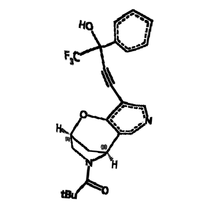 CC(C)(C)C(=O)N1C[C@@H]2C[C@H]1c1cncc(C#CC(O)(c3ccccc3)C(F)(F)F)c1O2